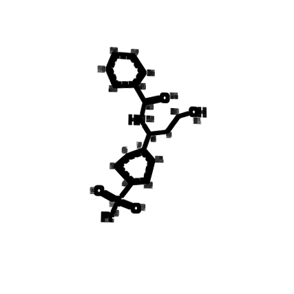 CCS(=O)(=O)c1ccc(C(CCO)NC(=O)c2ccccc2)cc1